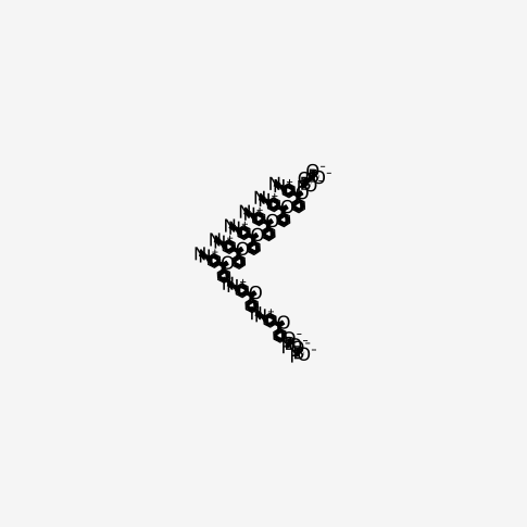 N#[N+]c1ccc(C(=O)c2ccccc2)cc1.N#[N+]c1ccc(C(=O)c2ccccc2)cc1.N#[N+]c1ccc(C(=O)c2ccccc2)cc1.N#[N+]c1ccc(C(=O)c2ccccc2)cc1.N#[N+]c1ccc(C(=O)c2ccccc2)cc1.N#[N+]c1ccc(C(=O)c2ccccc2)cc1.N#[N+]c1ccc(C(=O)c2ccccc2)cc1.N#[N+]c1ccc(C(=O)c2ccccc2)cc1.[O-]B([O-])F.[O-]B([O-])F.[O-]B([O-])F.[O-]B([O-])F